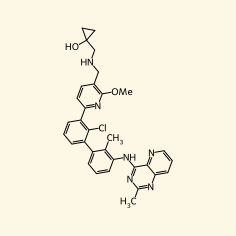 COc1nc(-c2cccc(-c3cccc(Nc4nc(C)nc5cccnc45)c3C)c2Cl)ccc1CNCC1(O)CC1